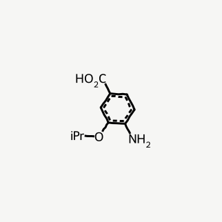 CC(C)Oc1cc(C(=O)O)ccc1N